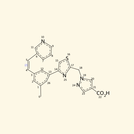 Cc1cc(/C=C\c2cccnc2)cc(-c2csc(Cn3cc(C(=O)O)cn3)n2)c1